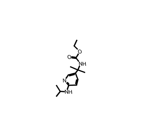 CCOC(=O)NC(C)(C)c1ccc(NC(C)C)nc1